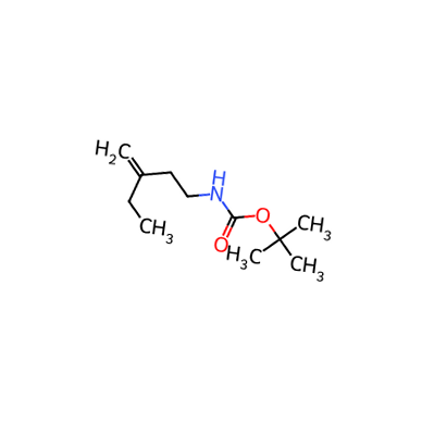 C=C(CC)CCNC(=O)OC(C)(C)C